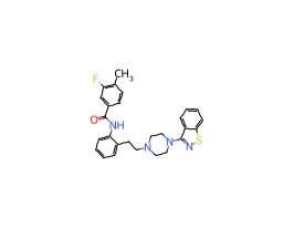 Cc1ccc(C(=O)Nc2ccccc2CCN2CCN(c3nsc4ccccc34)CC2)cc1F